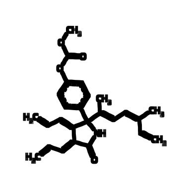 C=C/C=C1/C(=O)NC(/C(C)=C/C=C(/C)C=C)(c2ccc(OC(=O)OC)cc2)/C1=C/C=C